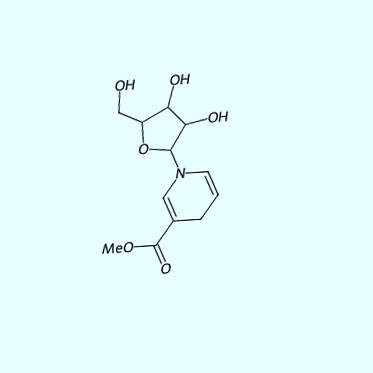 COC(=O)C1=CN(C2OC(CO)C(O)C2O)C=CC1